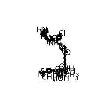 Cc1ncsc1-c1ccc(CNC(=O)[C@@H]2C[C@@H](O)CN2C(=O)C(NC(=O)CCCCCCC(=O)N2CCN(CC[C@H](NC(=O)C3(N)CCN(c4ncnc5[nH]ccc45)CC3)c3ccc(Cl)cc3)CC2)C(C)(C)C)cc1